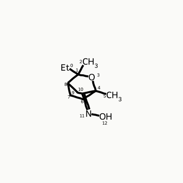 CCC1(C)OC2(C)CCC1CC2=NO